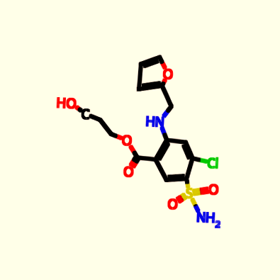 NS(=O)(=O)c1cc(C(=O)OCCCO)c(NCc2ccco2)cc1Cl